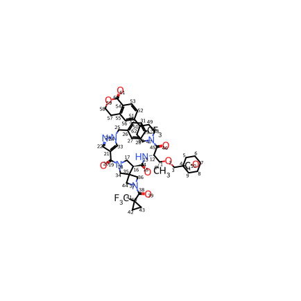 C[C@@H](OCC12CCC(CC1)OC2)[C@H](NC(=O)[C@@H]1CN(C(=O)c2cnn(Cc3ccc(C(F)(F)F)cc3)c2)CC12CN(C(=O)C1(C(F)(F)F)CC1)C2)C(=O)N1CCC(c2ccc3c(c2)CCOC3=O)CC1